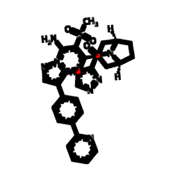 CS(=O)(=O)c1c([C@H]2C[C@H]3CC[C@@H](C2)N3C(=O)c2nnc[nH]2)nc2c(-c3ccc(-c4ccccn4)cc3)cnn2c1N